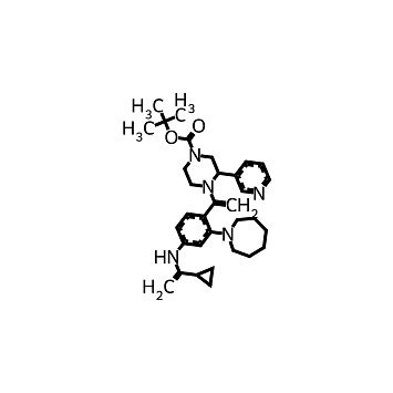 C=C(Nc1ccc(C(=C)N2CCN(C(=O)OC(C)(C)C)CC2c2cccnc2)c(N2CCCCCC2)c1)C1CC1